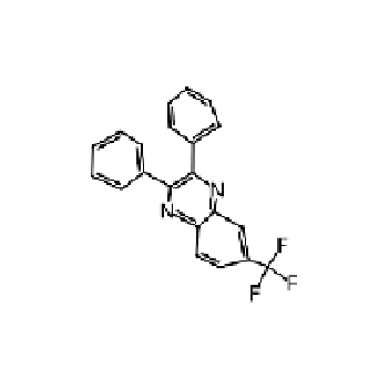 FC(F)(F)c1ccc2nc(-c3ccccc3)c(-c3ccccc3)nc2c1